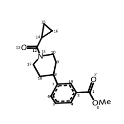 COC(=O)c1cccc(C2CCN(C(=O)C3CC3)CC2)c1